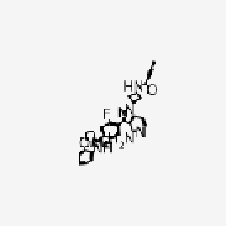 CC#CC(=O)N[C@H]1C[C@@H](n2nc(-c3ccc(C(=O)Nc4ccccc4OC)cc3F)c3c(N)nccc32)C1